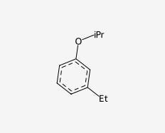 [CH2]Cc1cccc(OC(C)C)c1